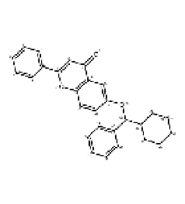 O=c1cc(-c2ccccc2)oc2ccc(OC(c3ccccc3)C3CCCNC3)cc12